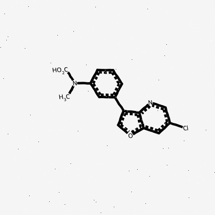 CN(C(=O)O)c1cccc(-c2coc3cc(Cl)cnc23)c1